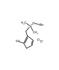 CC(C)(C)O[Si](C)(C)CC1=[C]([Ti+2])CC=C1.[Cl-].[Cl-]